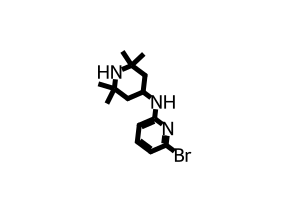 CC1(C)CC(Nc2cccc(Br)n2)CC(C)(C)N1